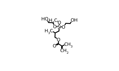 C=C(C)C(=O)OCC(C)C[Si](OC)(OCCO)OCCO